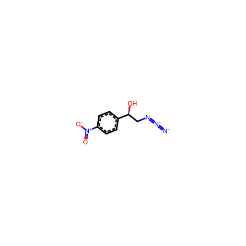 [N-]=[N+]=NC[C@H](O)c1ccc([N+](=O)[O-])cc1